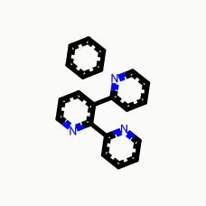 c1ccc(-c2cccnc2-c2ccccn2)nc1.c1ccccc1